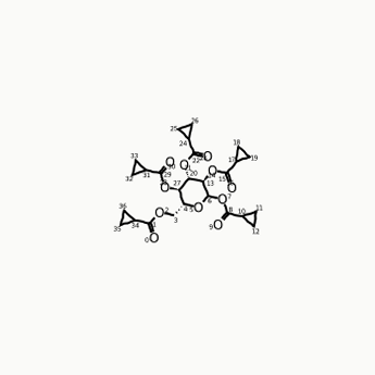 O=C(OC[C@H]1OC(OC(=O)C2CC2)[C@H](OC(=O)C2CC2)[C@@H](OC(=O)C2CC2)[C@@H]1OC(=O)C1CC1)C1CC1